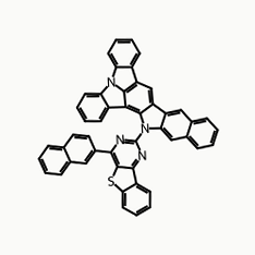 c1ccc2cc(-c3nc(-n4c5cc6ccccc6cc5c5cc6c7ccccc7n7c8ccccc8c(c54)c67)nc4c3sc3ccccc34)ccc2c1